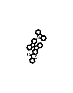 O=c1c2ccccc2sc2cc3c(cc12)C1(c2ccccc2-c2ccc(-n4c5ccccc5c5ccccc54)cc21)c1ccccc1-3